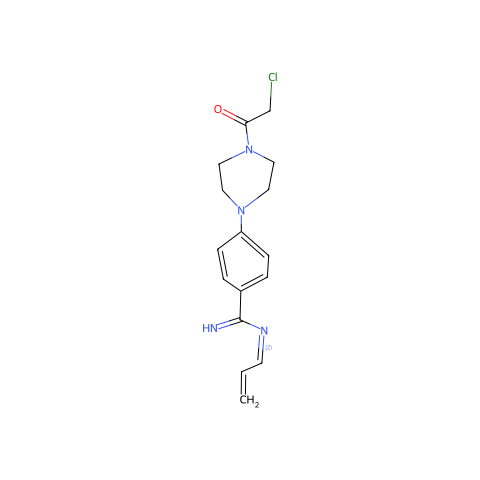 C=C/C=N\C(=N)c1ccc(N2CCN(C(=O)CCl)CC2)cc1